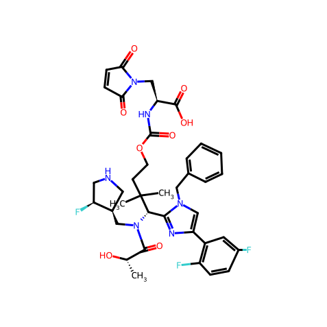 C[C@H](O)C(=O)N(C[C@@H]1CNC[C@@H]1F)[C@@H](c1nc(-c2cc(F)ccc2F)cn1Cc1ccccc1)C(C)(C)CCOC(=O)N[C@@H](CN1C(=O)C=CC1=O)C(=O)O